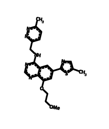 COCCOc1cc(-c2ncc(C)s2)cc2c(NCc3ccc(C)nn3)ncnc12